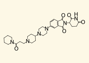 O=C1CCC(N2C(=O)c3ccc(N4CCN(C5CCN(CCC(=O)N6CCCCC6)CC5)CC4)cc3C2=O)C(=O)N1